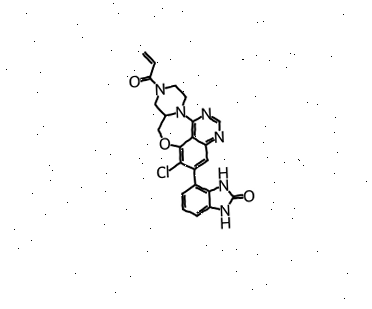 C=CC(=O)N1CCN2c3ncnc4cc(-c5cccc6[nH]c(=O)[nH]c56)c(Cl)c(c34)OCC2C1